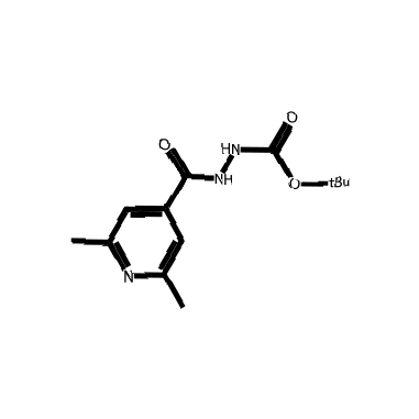 Cc1cc(C(=O)NNC(=O)OC(C)(C)C)cc(C)n1